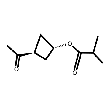 CC(=O)[C@H]1C[C@H](OC(=O)C(C)C)C1